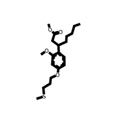 CCCCCC(CC(=O)OC)c1ccc(OCCCSC)cc1OC